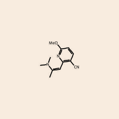 COc1ccc(C#N)c(C=C(C)N(C)C)n1